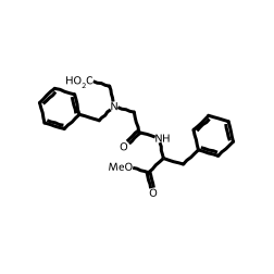 COC(=O)C(Cc1ccccc1)NC(=O)CN(CC(=O)O)Cc1ccccc1